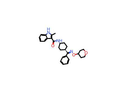 Cc1[nH]c2ccccc2c1C(=O)N[C@H]1CC[C@H](/C(=N/OC2CCOCC2)c2ccccc2)CC1